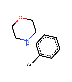 C1COCCN1.CC(=O)c1ccccc1